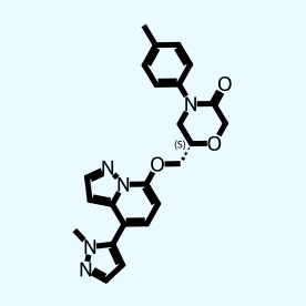 Cc1ccc(N2C[C@@H](COc3ccc(-c4ccnn4C)c4ccnn34)OCC2=O)cc1